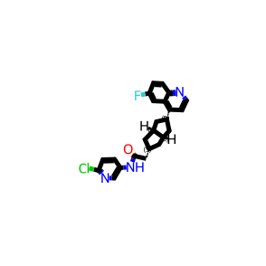 O=C(C[C@@H]1C[C@@H]2C[C@H](c3ccnc4ccc(F)cc34)C[C@@H]2C1)Nc1ccc(Cl)nc1